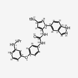 CC(C)Nc1cc(Oc2ccc(NC(=O)Nc3cc(C(C)(C)C)nn3-c3ccc4[nH]ncc4c3)cc2)ccn1